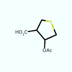 CC(=O)OC1CSCC1C(=O)O